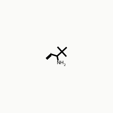 C=[C]C(N)C(C)(C)C